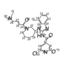 COc1cc(C(=O)Nc2nc3cccc(C)c3n2C2CCCCN(C(=O)C=CCN(C)C)C2)cc(Cl)n1